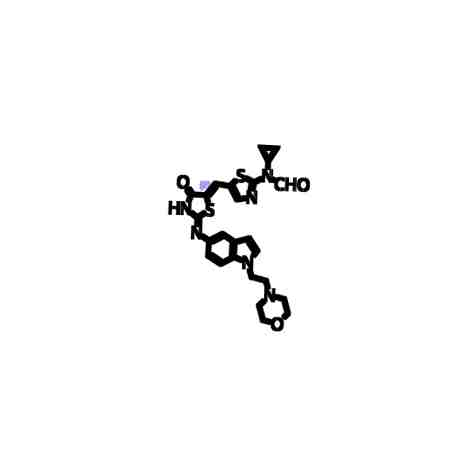 O=CN(c1ncc(/C=C2\SC(=Nc3ccc4c(ccn4CCN4CCOCC4)c3)NC2=O)s1)C1CC1